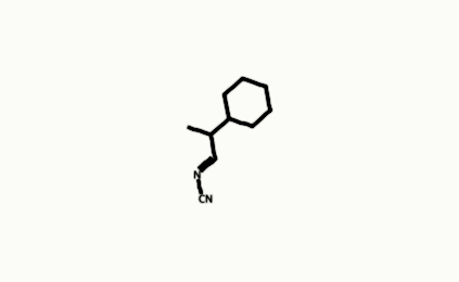 CC(/C=N/C#N)C1CCCCC1